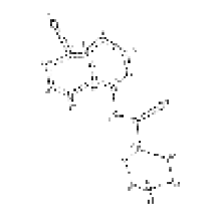 O=C(Sc1cccn2c(=O)ccnc12)N1CCNCC1